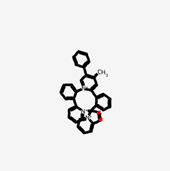 Cc1cc2[n+](cc1-c1ccccc1)-c1ccccc1-c1cccc[n+]1C1(c3ccccc3-2)c2ccccc2-c2cccc[n+]21